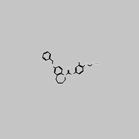 COCOc1ccc(NC(=O)N2CCCCc3cc(OCc4ccccc4)ccc32)cc1F